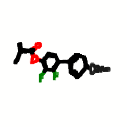 C=C(C)C(=O)Oc1ccc(-c2ccc(OC)cc2)c(F)c1F